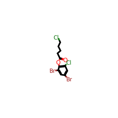 O=C(CCCCCl)Oc1c(Cl)cc(Br)cc1Br